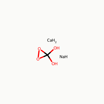 OC1(O)OO1.[CaH2].[NaH]